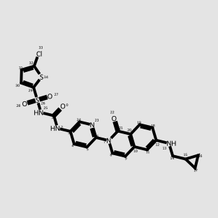 O=C(Nc1ccc(-n2ccc3cc(NCC4CC4)ccc3c2=O)nc1)NS(=O)(=O)c1ccc(Cl)s1